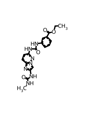 CCOC(=O)c1cccc(NC(=O)Nc2ccc3nc(NC(=O)NC)cn3n2)c1